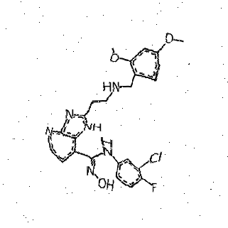 COc1ccc(CNCCc2nc3nccc(/C(=N/O)Nc4ccc(F)c(Cl)c4)c3[nH]2)c(OC)c1